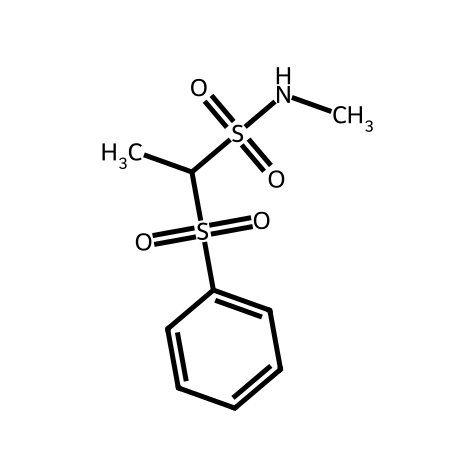 CNS(=O)(=O)C(C)S(=O)(=O)c1ccccc1